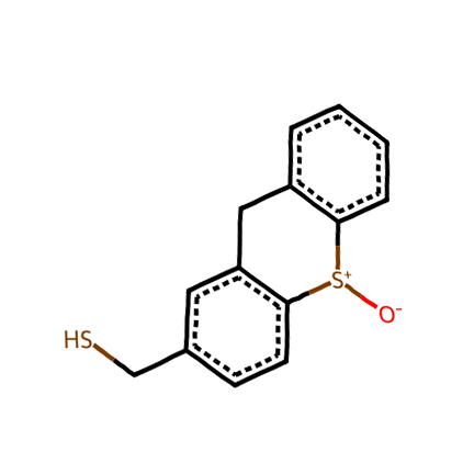 [O-][S+]1c2ccccc2Cc2cc(CS)ccc21